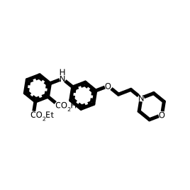 CCOC(=O)c1cccc(Nc2cccc(OCCN3CCOCC3)c2)c1C(=O)O